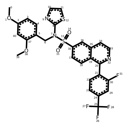 COc1ccc(CN(c2nccs2)S(=O)(=O)c2ccc3c(-c4ccc(C(F)(F)F)cc4F)nccc3c2)c(OC)c1